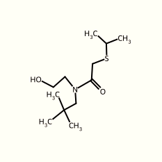 CC(C)SCC(=O)N(CCO)CC(C)(C)C